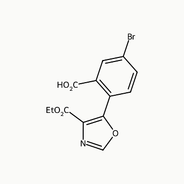 CCOC(=O)c1ncoc1-c1ccc(Br)cc1C(=O)O